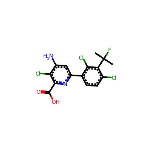 CC(C)(F)c1c(Cl)ccc(-c2cc(N)c(Cl)c(C(=O)O)n2)c1Cl